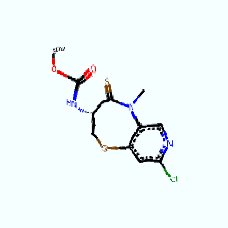 CN1C(=S)[C@@H](NC(=O)OC(C)(C)C)CSc2cc(Cl)ncc21